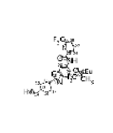 CC(C)(C)[Si](C)(C)Oc1cc2nc(C3CCC(CO)CC3)oc2cc1NC(=O)c1cccc(C(F)(F)F)n1